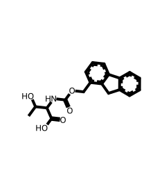 CC(O)C(NC(=O)OCc1cccc2c1Cc1ccccc1-2)C(=O)O